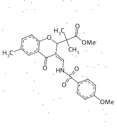 COC(=O)C(C)(C)C1Oc2ccc(C)cc2C(=O)/C1=C\NS(=O)(=O)c1ccc(OC)cc1